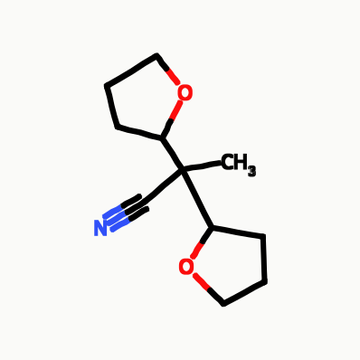 CC(C#N)(C1CCCO1)C1CCCO1